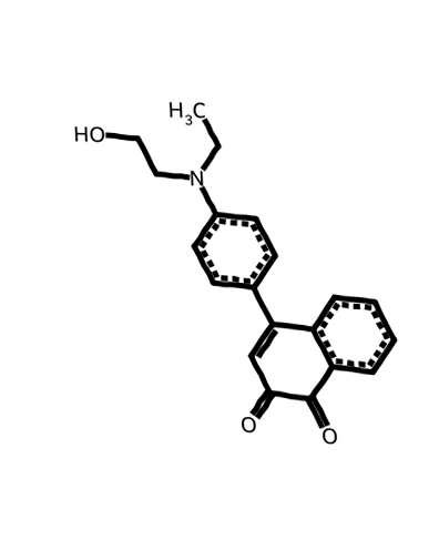 CCN(CCO)c1ccc(C2=CC(=O)C(=O)c3ccccc32)cc1